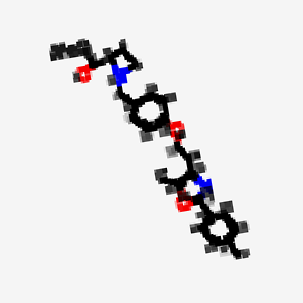 COC(=O)[C@H]1CCN1Cc1ccc(OCCc2nc(-c3ccc(C)cc3)oc2C)cc1